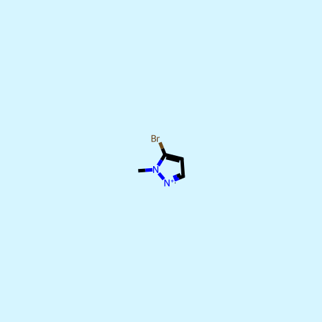 CN1[N+]=CC=C1Br